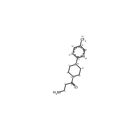 NCCC(=O)N1CCN(c2ncc(C(F)(F)F)cn2)CC1